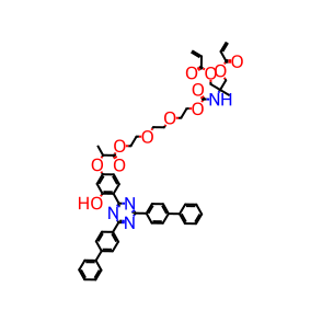 C=CC(=O)OCC(C)(COC(=O)C=C)NC(=O)OCCOCCOCCOC(=O)C(C)Oc1ccc(-c2nc(-c3ccc(-c4ccccc4)cc3)nc(-c3ccc(-c4ccccc4)cc3)n2)c(O)c1